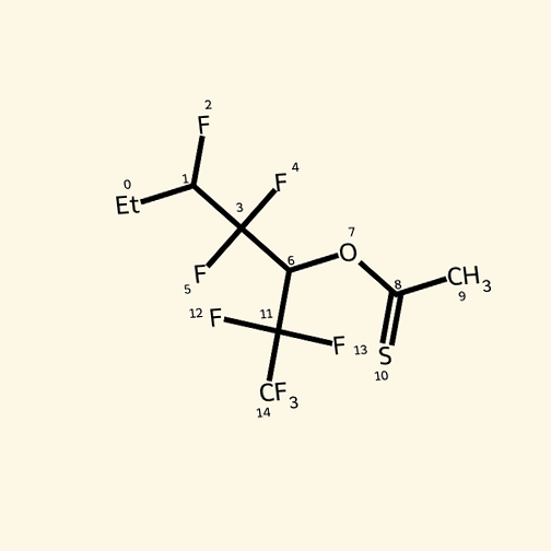 CCC(F)C(F)(F)C(OC(C)=S)C(F)(F)C(F)(F)F